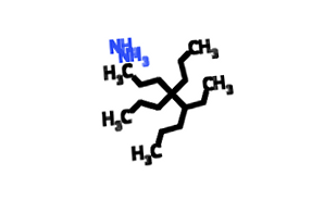 CCCC(CC)C(CCC)(CCC)CCC.N.N